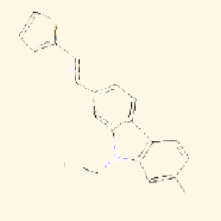 CCn1c2cc(C)ccc2c2ccc(/C=C/c3cccs3)cc21